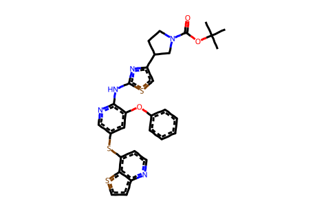 CC(C)(C)OC(=O)N1CCC(c2csc(Nc3ncc(Sc4ccnc5ccsc45)cc3Oc3ccccc3)n2)C1